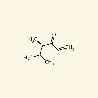 C=CC(=O)[C@H](C)C(C)C